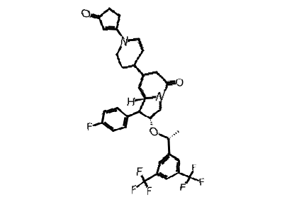 C[C@@H](O[C@H]1CN2C(=O)CC(C3CCN(C4=CC(=O)CC4)CC3)C[C@H]2C1c1ccc(F)cc1)c1cc(C(F)(F)F)cc(C(F)(F)F)c1